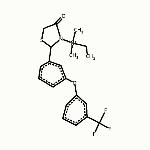 CC[N+](C)(C)N1C(=O)CSC1c1cccc(Oc2cccc(C(F)(F)F)c2)c1